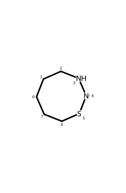 C1CCN[N]SCC1